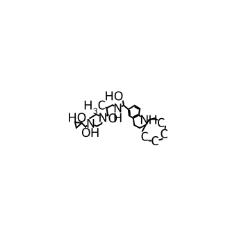 CC(CNC(CO)c1ccc2c(c1)CCC1(CCCCCCCCCC1)N2)C(=O)N1CCN(C(O)C2(O)CC2)CC1